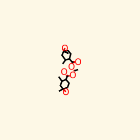 CC(OC(=O)C1CC2OC2(C)CC1C)OC(=O)C1CC2OC2(C)CC1C